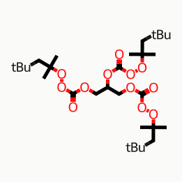 CC(C)(C)CC(C)(C)OOC(=O)OCC(COC(=O)OOC(C)(C)CC(C)(C)C)OC(=O)OOC(C)(C)CC(C)(C)C